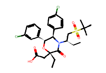 CC[C@@H](CS(=O)(=O)C(C)(C)C)N1C(=O)[C@](CC)(CC(=O)O)O[C@H](c2cccc(Cl)c2)[C@H]1c1ccc(Cl)cc1